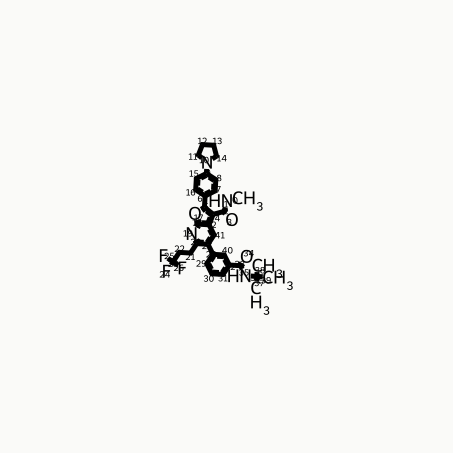 CNC(=O)c1c(-c2ccc(N3CCCC3)cc2)oc2nc(CCC(F)(F)F)c(-c3cccc(C(=O)NC(C)(C)C)c3)cc12